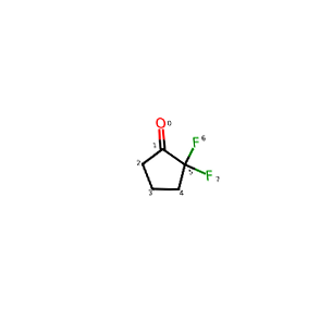 O=C1CCCC1(F)F